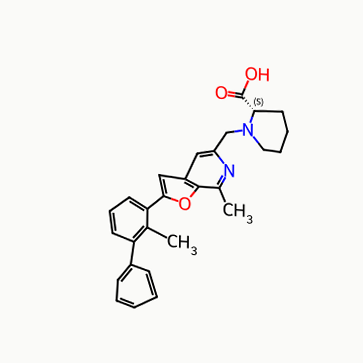 Cc1c(-c2ccccc2)cccc1-c1cc2cc(CN3CCCC[C@H]3C(=O)O)nc(C)c2o1